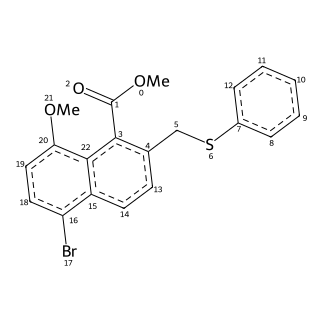 COC(=O)c1c(CSc2ccccc2)ccc2c(Br)ccc(OC)c12